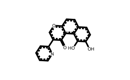 O=c1c(-c2ccccn2)coc2ccc3ccc(O)c(O)c3c12